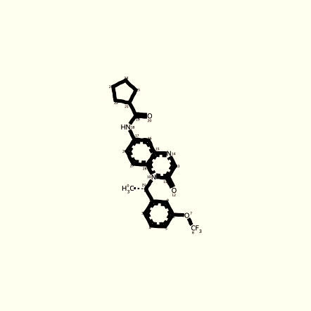 C[C@@H](c1cccc(OC(F)(F)F)c1)n1c(=O)cnc2cc(NC(=O)C3CCCC3)ccc21